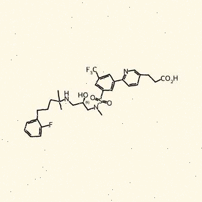 CN(C[C@H](O)CNC(C)(C)CCCc1ccccc1F)S(=O)(=O)c1cc(-c2ccc(CCC(=O)O)cn2)cc(C(F)(F)F)c1